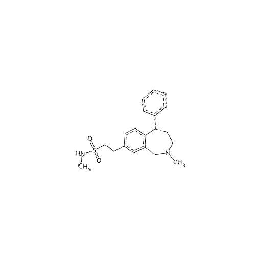 CNS(=O)(=O)CCc1ccc2c(c1)CN(C)CCC2c1ccccc1